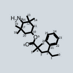 CCC(CC(C)(C)C(=O)OC1CC(C)(C)C(N)C(C)(C)C1)c1ccccc1